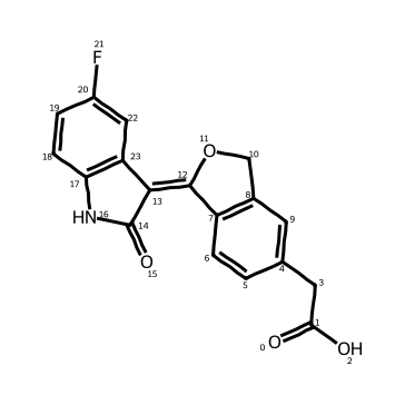 O=C(O)Cc1ccc2c(c1)CO/C2=C1/C(=O)Nc2ccc(F)cc21